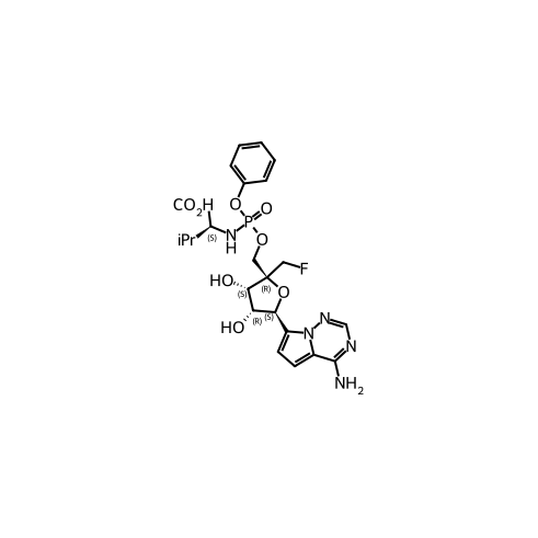 CC(C)[C@H](NP(=O)(OC[C@@]1(CF)O[C@@H](c2ccc3c(N)ncnn23)[C@H](O)[C@@H]1O)Oc1ccccc1)C(=O)O